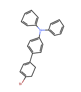 BrC1=CC=C(c2ccc(N(c3ccccc3)c3ccccc3)cc2)CC1